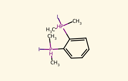 C[PH](C)(I)c1ccccc1[PH](C)(C)I